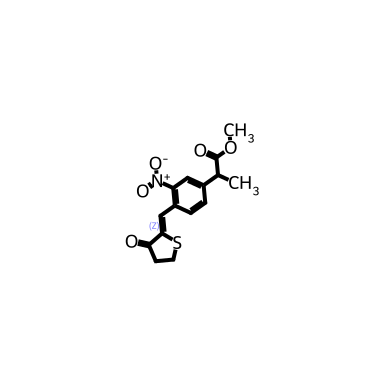 COC(=O)C(C)c1ccc(/C=C2\SCCC2=O)c([N+](=O)[O-])c1